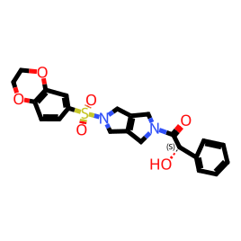 O=C([C@@H](O)c1ccccc1)N1CC2=C(C1)CN(S(=O)(=O)c1ccc3c(c1)OCCO3)C2